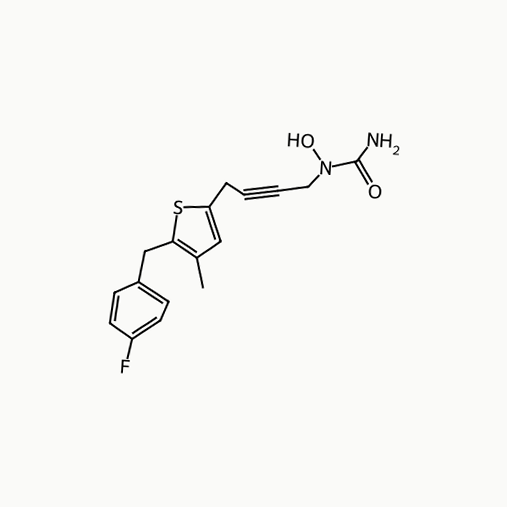 Cc1cc(CC#CCN(O)C(N)=O)sc1Cc1ccc(F)cc1